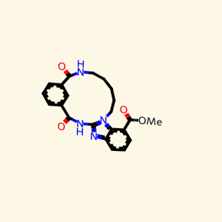 COC(=O)c1cccc2nc3n(c12)CCCCCNC(=O)c1cccc(c1)C(=O)N3